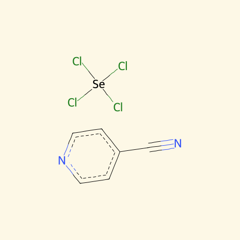 Cl[Se](Cl)(Cl)Cl.N#Cc1ccncc1